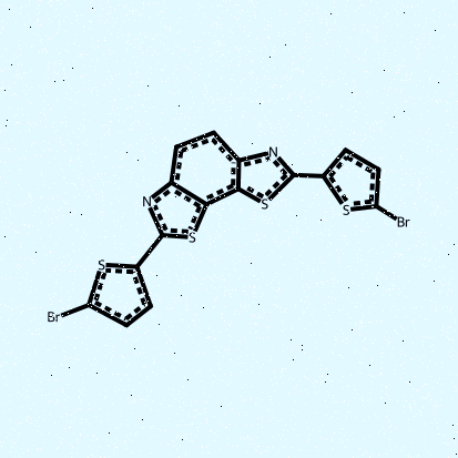 Brc1ccc(-c2nc3ccc4nc(-c5ccc(Br)s5)sc4c3s2)s1